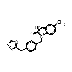 Cc1ccc2c(c1)[nH]c(=O)n2Cc1ccc(Cc2nnco2)cc1